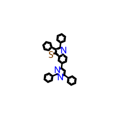 c1ccc(-c2cc(-c3ccc4nc(-c5ccccc5)c5c6ccccc6sc5c4c3)nc(-c3ccccc3)n2)cc1